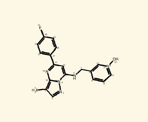 Bc1cnn2c(NCc3ccc[n+](O)c3)cc(-c3ccc(F)cc3)nc12